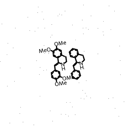 C(=C1NCCc2ccccc21)c1ccccc1.COc1ccc(C=C2NCCc3cc(OC)c(OC)cc32)cc1OC